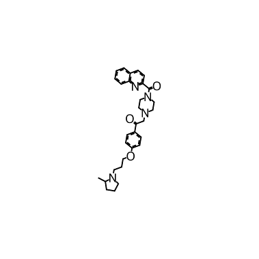 CC1CCCN1CCCOc1ccc(C(=O)CN2CCN(C(=O)c3ccc4ccccc4n3)CC2)cc1